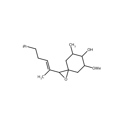 COC1CC2(CC(C)C1O)OC2C(C)=CCCC(C)C